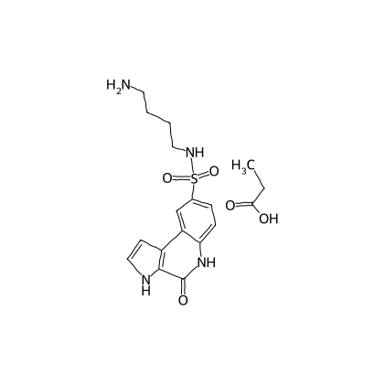 CCC(=O)O.NCCCCNS(=O)(=O)c1ccc2[nH]c(=O)c3[nH]ccc3c2c1